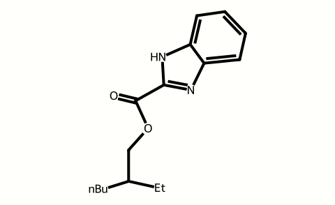 CCCCC(CC)COC(=O)c1nc2ccccc2[nH]1